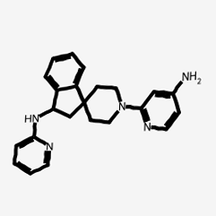 Nc1ccnc(N2CCC3(CC2)CC(Nc2ccccn2)c2ccccc23)c1